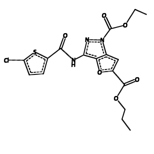 CCCOC(=O)c1cc2c(o1)c(NC(=O)c1ccc(Cl)s1)nn2C(=O)OCC